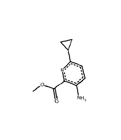 COC(=O)c1nc(C2CC2)ccc1N